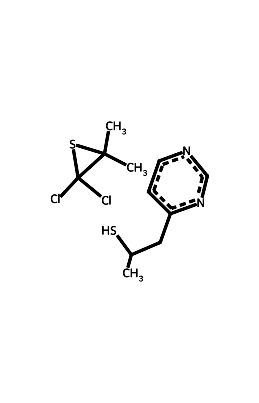 CC(S)Cc1ccncn1.CC1(C)SC1(Cl)Cl